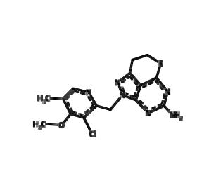 COc1c(C)cnc(Cn2nc3c4c(nc(N)nc42)SCC3)c1Cl